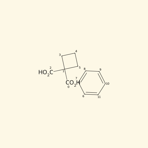 O=C(O)C1(C(=O)O)CCC1.c1ccccc1